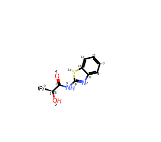 CC(C)[C@H](O)C(=O)Nc1nc2ccccc2s1